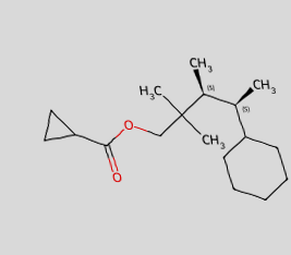 C[C@@H](C1CCCCC1)[C@H](C)C(C)(C)COC(=O)C1CC1